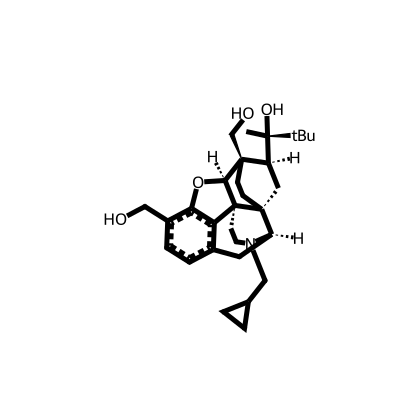 CC(C)(C)[C@@](C)(O)[C@H]1C[C@@]23CC[C@]1(CO)[C@@H]1Oc4c(CO)ccc5c4[C@@]12CCN(CC1CC1)[C@@H]3C5